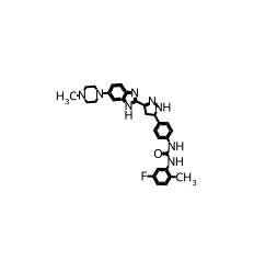 Cc1ccc(F)cc1NC(=O)Nc1ccc(C2CC(c3nc4ccc(N5CCN(C)CC5)cc4[nH]3)=NN2)cc1